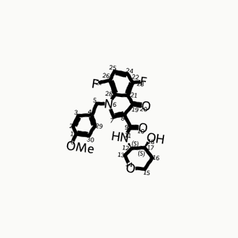 COc1ccc(Cn2cc(C(=O)N[C@H]3COCC[C@@H]3O)c(=O)c3c(F)ccc(F)c32)cc1